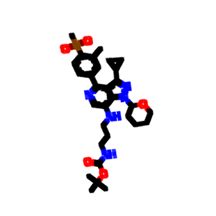 Cc1cc(-c2ncc(NCCCNC(=O)OC(C)(C)C)c3c2c(C2CC2)nn3C2CCCCO2)ccc1S(C)(=O)=O